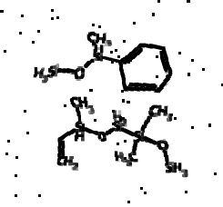 C=C[SiH](C)O[SiH2][Si](C)(C)O[SiH3].C[SiH](O[SiH3])c1ccccc1